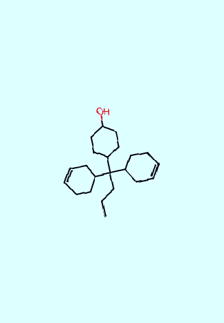 CCCC(C1CC=CCC1)(C1CC=CCC1)C1CCC(O)CC1